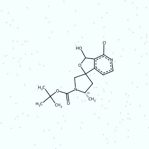 C[C@H]1CC2(CN1C(=O)OC(C)(C)C)OC(O)c1c2ccnc1Cl